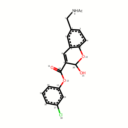 CC(=O)NCc1ccc2c(c1)C=C(C(=O)Oc1cccc(Cl)c1)C(O)O2